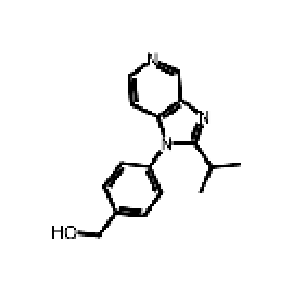 CC(C)c1nc2cnccc2n1-c1ccc(CO)cc1